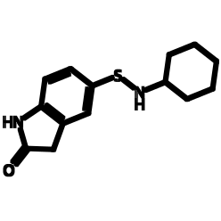 O=C1Cc2cc(SNC3CCCCC3)ccc2N1